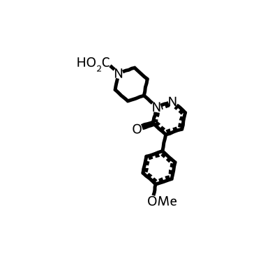 COc1ccc(-c2ccnn(C3CCN(C(=O)O)CC3)c2=O)cc1